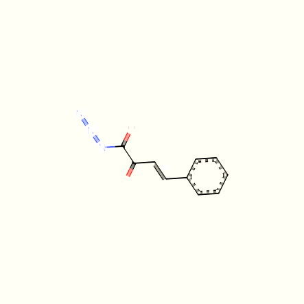 [N-]=[N+]=NC(=O)C(=O)/C=C/c1ccccc1